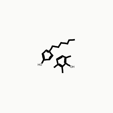 CCCCCCc1ccc(O)cc1.Cc1ccc(C)c(O)c1C